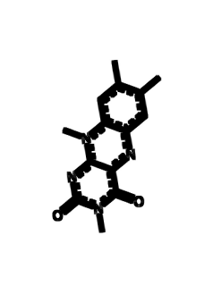 Cc1cc2nc3c(=O)n(C)c(=O)nc-3n(C)c2cc1C